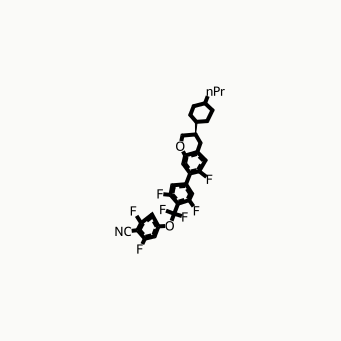 CCCC1CCC([C@@H]2COc3cc(-c4cc(F)c(C(F)(F)Oc5cc(F)c(C#N)c(F)c5)c(F)c4)c(F)cc3C2)CC1